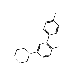 Cc1ccc(-c2cc(N3CCOCC3)ncc2C#N)cc1